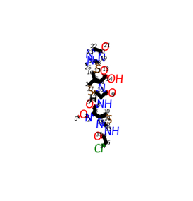 CO/N=C(\C(=O)N[C@@H]1C(=O)N2C(C(=O)O)=C(CSc3nc(=O)cnn3C)CS[C@H]12)c1csc(NC(=O)CCl)n1